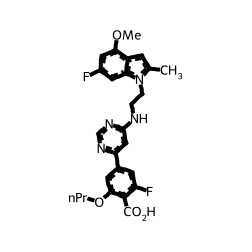 CCCOc1cc(-c2cc(NCCn3c(C)cc4c(OC)cc(F)cc43)ncn2)cc(F)c1C(=O)O